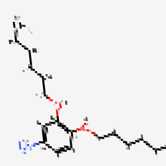 CCCCCCOc1ccc(N)cc1OCCCCCC